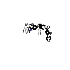 COc1cc(N2CCC3(CCN(C(=O)c4ccc(N5CCOCC5)c(F)c4)CC3)C2O)ccc1/C(C=N)=C/N